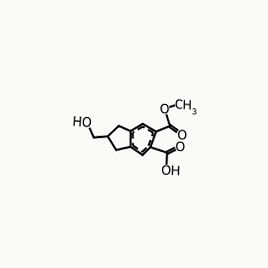 COC(=O)c1cc2c(cc1C(=O)O)CC(CO)C2